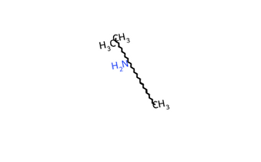 CCCCC/C=C/C/C=C/CCCCCCCC(N)CCCCCCCC(C)C